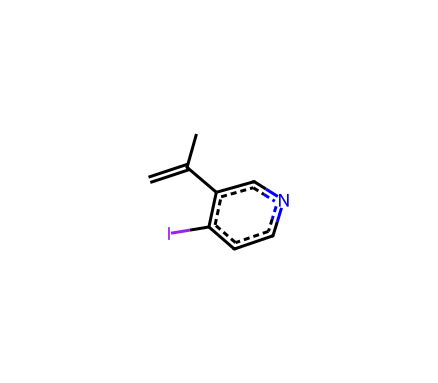 C=C(C)c1cnccc1I